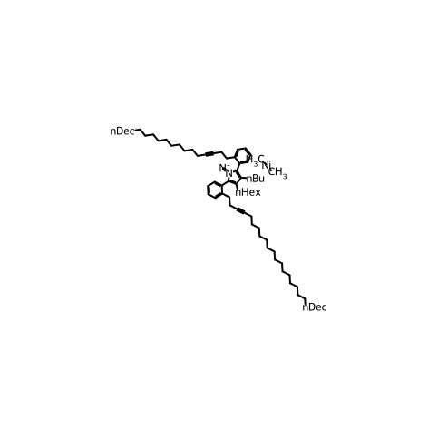 CCCCCCCCCCCCCCCCCCCCC#CCCc1ccccc1C1=C(CCCC)C(CCCCCC)=C(c2ccccc2CCC#CCCCCCCCCCCCCCCCCCCCCCCCCC)[N+]1=[N-].[CH3][Ni][CH3]